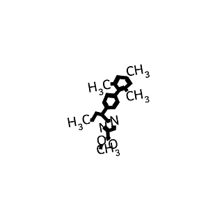 CCCC(c1ccc(-c2c(C)cc(C)cc2C)cc1)C1N=CC(C(=O)OC)=N1